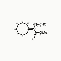 COC(=O)C(NC=O)=C1CCCCCCC1